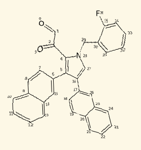 O=CC(=O)c1c(-c2ccc3ccccc3c2)c(-c2ccc3ccccc3c2)cn1Cc1ccccc1F